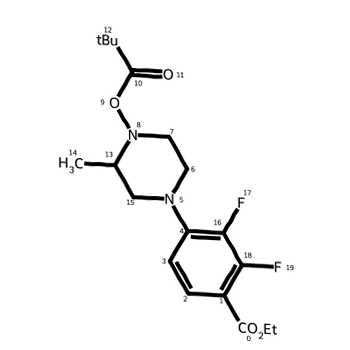 CCOC(=O)c1ccc(N2CCN(OC(=O)C(C)(C)C)C(C)C2)c(F)c1F